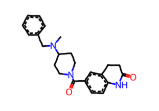 CN(Cc1ccccc1)C1CCN(C(=O)c2ccc3c(c2)CCC(=O)N3)CC1